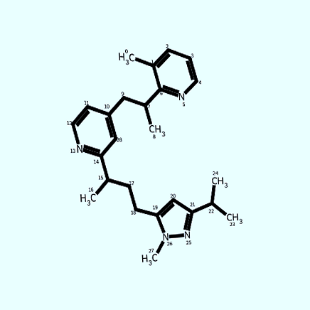 Cc1cccnc1C(C)Cc1ccnc(C(C)CCc2cc(C(C)C)nn2C)c1